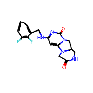 O=C1CN2c3cc(NCc4cccc(F)c4F)nc(=O)n3CC2CN1